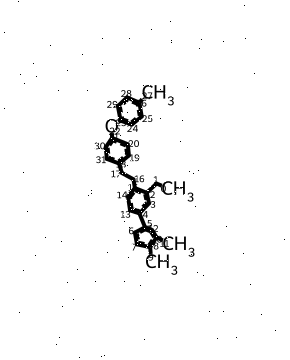 CCc1cc(-c2ccc(C)c(C)c2)ccc1CCc1ccc(Oc2ccc(C)cc2)cc1